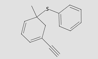 C#CC1=CC=CC(C)(Sc2ccccc2)C1